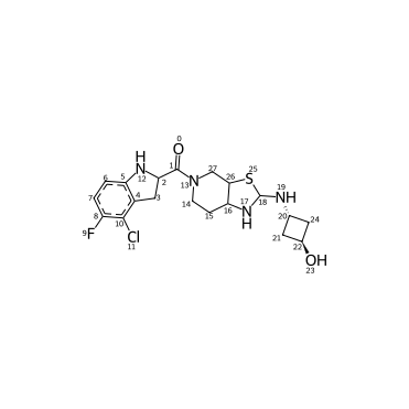 O=C(C1Cc2c(ccc(F)c2Cl)N1)N1CCC2NC(N[C@H]3C[C@H](O)C3)SC2C1